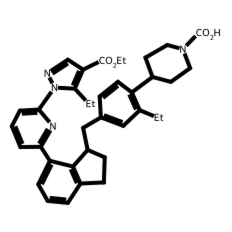 CCOC(=O)c1cnn(-c2cccc(-c3cccc4c3C(Cc3ccc(C5CCN(C(=O)O)CC5)c(CC)c3)CC4)n2)c1CC